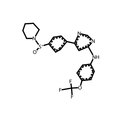 [O-][S+](c1ccc(-c2cc(Nc3ccc(OC(F)(F)F)cc3)ncn2)cc1)N1CCCCC1